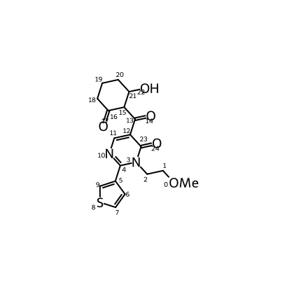 COCCn1c(-c2ccsc2)ncc(C(=O)C2C(=O)CCCC2O)c1=O